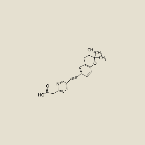 CC1Cc2cc(C#Cc3cnc(CC(=O)O)nc3)ccc2OC1(C)C